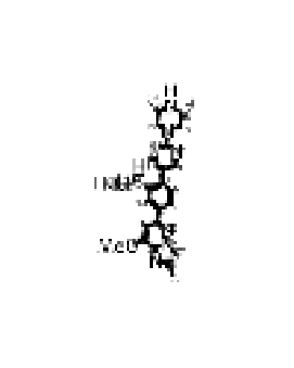 COc1cc(-c2ccc(-c3cnc(N4C[C@@H](C)N[C@@H](C)C4)nn3)c(O)c2)nn2nc(C)nc12.Cl.Cl